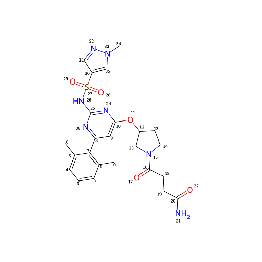 Cc1cccc(C)c1-c1cc(OC2CCN(C(=O)CCC(N)=O)C2)nc(NS(=O)(=O)c2cnn(C)c2)n1